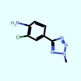 Cn1nnc(-c2ccc(N)c(Cl)c2)n1